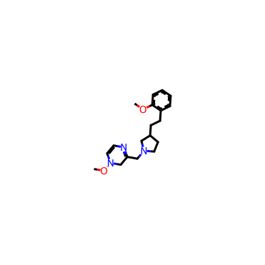 COc1ccccc1CCC1CCN(CC2=NC=CN(OC)C2)C1